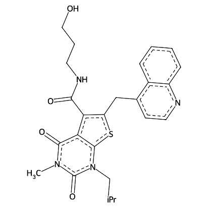 CC(C)Cn1c(=O)n(C)c(=O)c2c(C(=O)NCCCO)c(Cc3ccnc4ccccc34)sc21